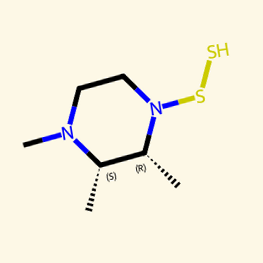 C[C@@H]1[C@H](C)N(C)CCN1SS